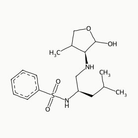 CC(C)C[C@H](CN[C@H]1C(C)COC1O)NS(=O)(=O)c1ccccc1